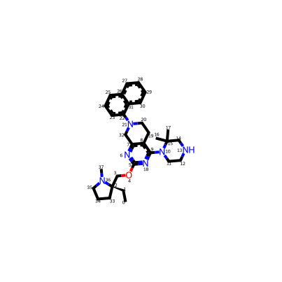 CC[C@@]1(COc2nc3c(c(N4CCNCC4(C)C)n2)CCN(c2cccc4ccccc24)C3)CCCN1C